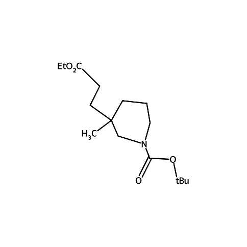 CCOC(=O)CCC1(C)CCCN(C(=O)OC(C)(C)C)C1